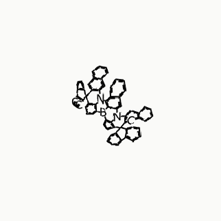 c1ccc2c(c1)-c1ccccc1C21c2cc3ccccc3cc2N2c3cc4ccccc4c4c3B(c3cccc1c32)c1cccc2c1N4c1cc3ccccc3cc1C21c2ccccc2-c2ccccc21